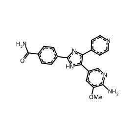 COc1cc(-c2[nH]c(-c3ccc(C(N)=O)cc3)nc2-c2ccncc2)cnc1N